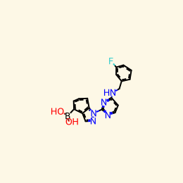 OB(O)c1cccc2c1cnn2-c1nccc(NCc2cccc(F)c2)n1